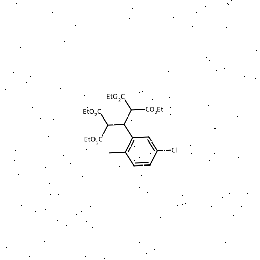 CCOC(=O)C(C(=O)OCC)C(c1cc(Cl)ccc1C)C(C(=O)OCC)C(=O)OCC